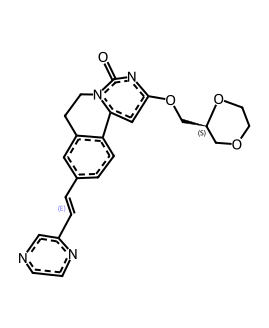 O=c1nc(OC[C@@H]2COCCO2)cc2n1CCc1cc(/C=C/c3cnccn3)ccc1-2